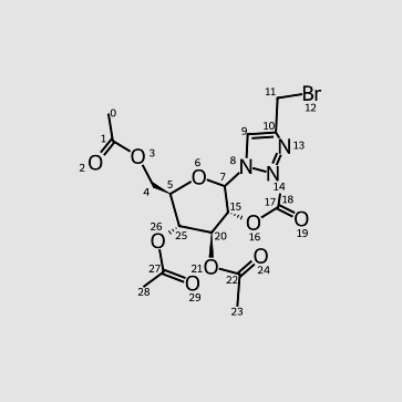 CC(=O)OC[C@H]1OC(n2cc(CBr)nn2)[C@H](OC(C)=O)[C@@H](OC(C)=O)[C@@H]1OC(C)=O